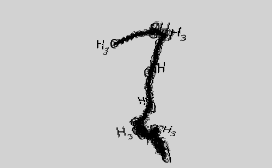 CCCCCCCCCCCCCCCC(=O)N(C)CCN(C)C(=O)CCOCCOCCOCCNC(=O)CCOCCOCCOCCNC(=O)CCCCCCC(=O)N1CCN(C(=O)c2cnc3c(n2)C2(CN3c3ccc(Cl)c(F)c3)CC(C)(C)C2)C(C)(C)C1